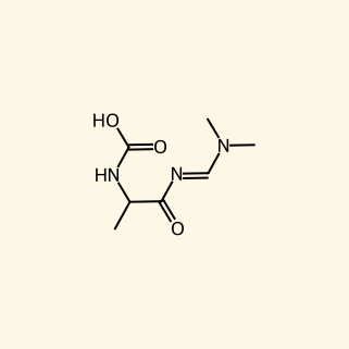 CC(NC(=O)O)C(=O)N=CN(C)C